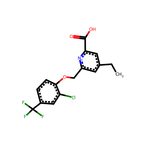 CCc1cc(COc2ccc(C(F)(F)F)cc2Cl)nc(C(=O)O)c1